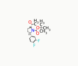 CC(=O)[C@H]1CC[C@@H](c2ccc(F)c(F)c2)N1C(=O)OC(C)(C)C